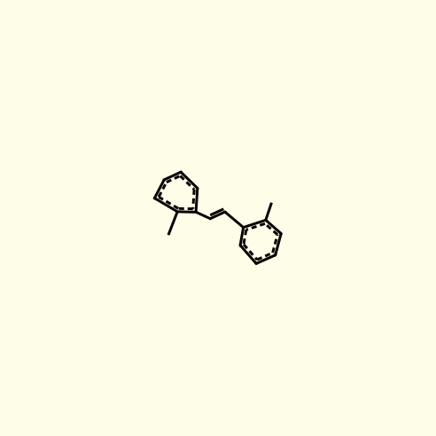 Cc1ccccc1C=Cc1ccccc1C